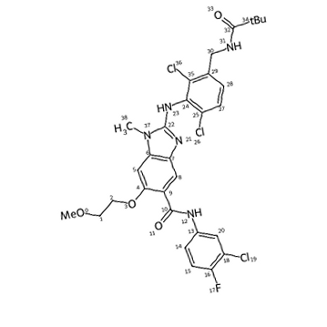 COCCOc1cc2c(cc1C(=O)Nc1ccc(F)c(Cl)c1)nc(Nc1c(Cl)ccc(CNC(=O)C(C)(C)C)c1Cl)n2C